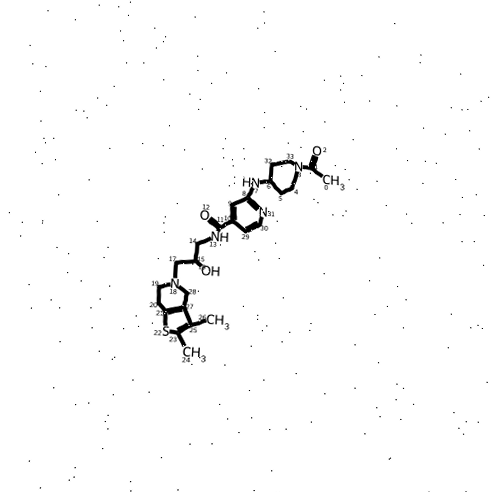 CC(=O)N1CCC(Nc2cc(C(=O)NCC(O)CN3CCc4sc(C)c(C)c4C3)ccn2)CC1